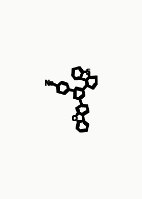 N#Cc1ccc(-c2cc(-c3ccc4c(c3)oc3ccccc34)cc(-c3cccc4sc5ccccc5c34)c2)cc1